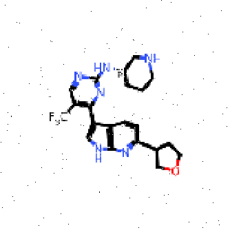 FC(F)(F)c1cnc(N[C@H]2CCCNC2)nc1-c1c[nH]c2nc(C3CCOC3)ccc12